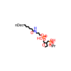 CCCCCCCCCCCCCCCC(=O)NCCCOP(=O)(O)OCC1OCCC1CP(=O)(O)OC(C)C